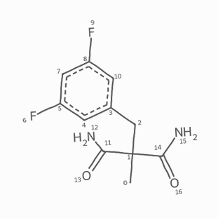 CC(Cc1cc(F)cc(F)c1)(C(N)=O)C(N)=O